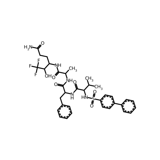 CC(NC(=O)C(Cc1ccccc1)NC(=O)C(NS(=O)(=O)c1ccc(-c2ccccc2)cc1)C(C)C)C(=O)NC(CCC(N)=O)C(O)C(F)(F)F